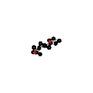 c1ccc(-c2ccccc2N(c2ccc3c(c2)c2cccc4c5cc6c(cc5n3c24)c2cccc3c4cc(N(c5ccccc5-c5ccccc5)c5cccc7c5oc5ccccc57)ccc4n6c32)c2cccc3c2oc2ccccc23)cc1